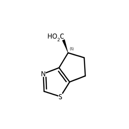 O=C(O)[C@H]1CCc2scnc21